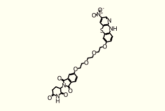 O=C1CCC(N2C(=O)c3ccc(OCCOCCOCCOc4ccc5c(c4)Sc4cc([N+](=O)[O-])cnc4N5)cc3C2=O)C(=O)N1